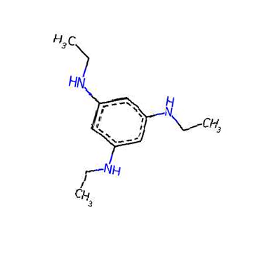 CCNc1cc(NCC)cc(NCC)c1